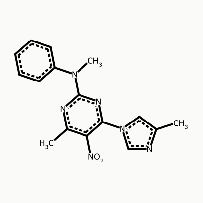 Cc1cn(-c2nc(N(C)c3ccccc3)nc(C)c2[N+](=O)[O-])cn1